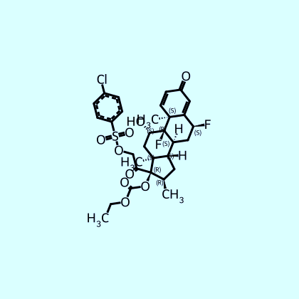 CCOC(=O)O[C@]1(C(=O)COS(=O)(=O)c2ccc(Cl)cc2)[C@H](C)C[C@H]2[C@@H]3C[C@H](F)C4=CC(=O)C=C[C@]4(C)[C@@]3(F)[C@@H](O)C[C@@]21C